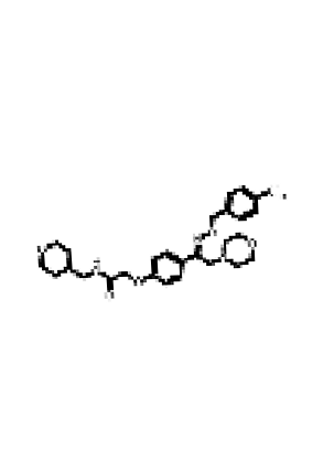 O=C(COc1ccc(C(CN2CCOCC2)=NOCc2ccc(C(F)(F)F)cc2)cc1)NCC1CCOCC1